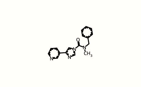 CN(Cc1ccccc1)C(=O)n1cnc(-c2cccnc2)c1